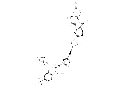 CC1(COc2cc(C(F)(F)F)ccc2NC(=O)C(C)(C)n2cc(C#CC3CN(c4ccc5c(c4)C(=O)N(C4CCC(=O)NC4=O)C5=O)C3)cn2)COC1